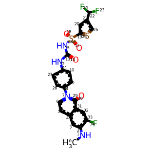 CNc1cc2ccn(-c3ccc(NC(=O)NS(=O)(=O)c4cc(C(F)F)cs4)cc3)c(=O)c2cc1F